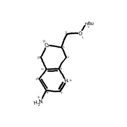 CCCCOCC1Cc2ncc(N)cc2CO1